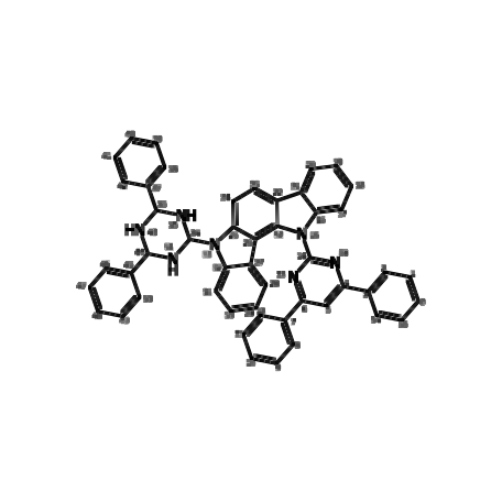 c1ccc(-c2cc(-c3ccccc3)nc(-n3c4ccccc4c4ccc5c(c6ccccc6n5C5NC(c6ccccc6)NC(c6ccccc6)N5)c43)n2)cc1